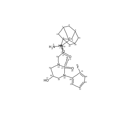 NC(=O)C12CC3CC(C1)C(NC(=O)CN1CC(O)CN(c4ccccc4F)S1(=O)=O)C(C3)C2